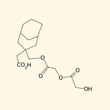 O=C(O)CC1(COC(=O)COC(=O)CO)CC2CCCC(C2)C1